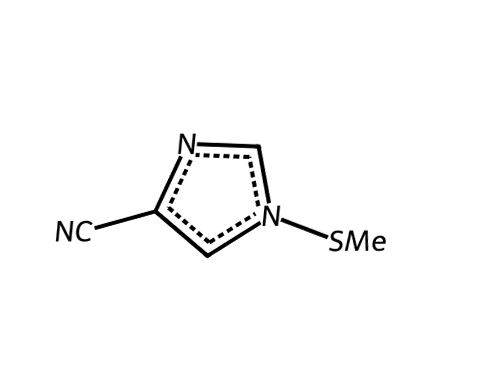 CSn1cnc(C#N)c1